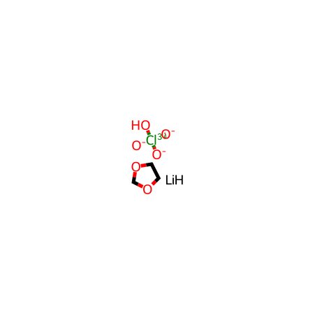 C1COCO1.[LiH].[O-][Cl+3]([O-])([O-])O